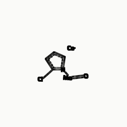 [Co].[O]=[Mo][n]1cccc1Cl